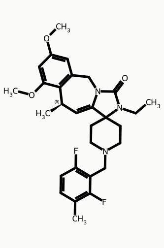 CCN1C(=O)N2Cc3cc(OC)cc(OC)c3[C@H](C)C=C2C12CCN(Cc1c(F)ccc(C)c1F)CC2